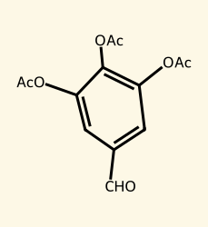 CC(=O)Oc1cc(C=O)cc(OC(C)=O)c1OC(C)=O